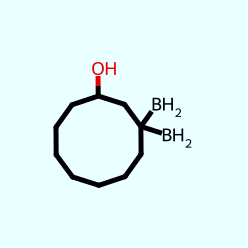 BC1(B)CCCCCCCC(O)C1